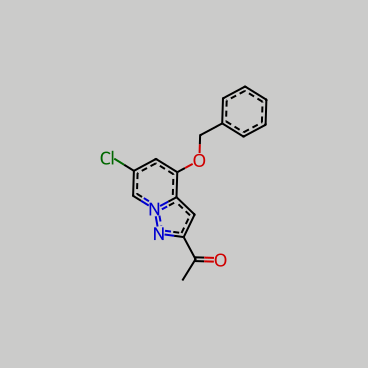 CC(=O)c1cc2c(OCc3ccccc3)cc(Cl)cn2n1